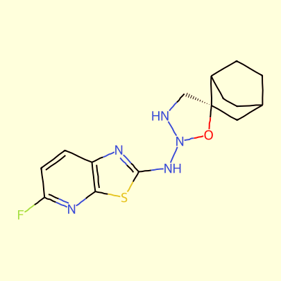 Fc1ccc2nc(NN3NC[C@]4(CC5CCC4CC5)O3)sc2n1